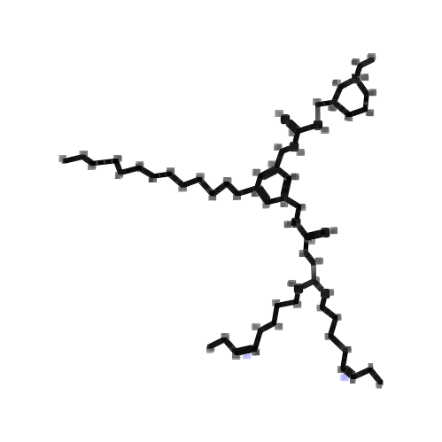 CC/C=C\CCCCOC(CCC(=O)OCc1cc(CCCCCCC[CH]CCCCC)cc(COC(=O)OCC2CCCN(CC)C2)c1)OCCCC/C=C\CC